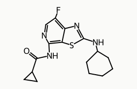 O=C(Nc1ncc(F)c2nc(NC3CCCCC3)sc12)C1CC1